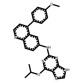 COc1ccc(-c2ccnc3ccc(Nc4nc(OC(C)C)c5nc[nH]c5n4)cc23)cc1